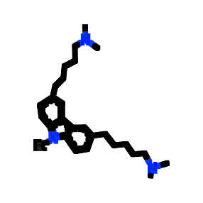 CCn1c2ccc(CCCCCN(C)C)cc2c2cc(CCCCCN(C)C)ccc21